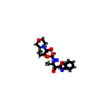 CCC(NC(=O)OC(CC(C)C)C(=O)N1CCOCC1)C(=O)c1nc2ccccc2o1